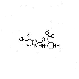 COC(=O)CC1CNCCC1NC(=O)c1cc2c(Cl)c(Cl)ccc2n1C